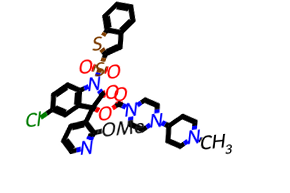 COc1ncccc1C1(OC(=O)N2CCN(C3CCN(C)CC3)CC2)C(=O)N(S(=O)(=O)c2cc3ccccc3s2)c2ccc(Cl)cc21